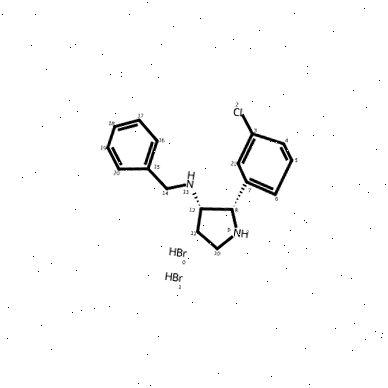 Br.Br.Clc1cccc([C@@H]2NCC[C@@H]2NCc2ccccc2)c1